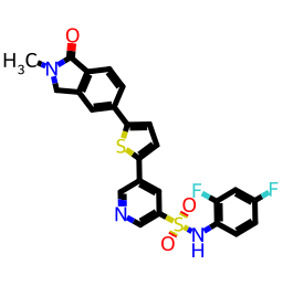 CN1Cc2cc(-c3ccc(-c4cncc(S(=O)(=O)Nc5ccc(F)cc5F)c4)s3)ccc2C1=O